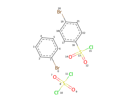 Brc1ccccc1.O=S(=O)(Cl)Cl.O=S(=O)(Cl)c1ccc(Br)cc1